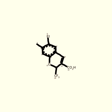 CCc1cc2c(cc1C)OC(C(F)(F)F)C(C(=O)O)=C2